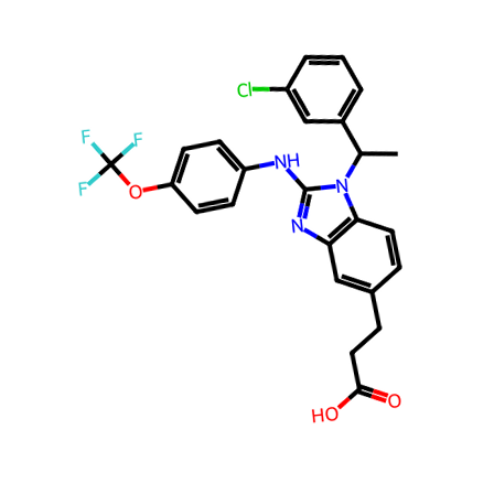 CC(c1cccc(Cl)c1)n1c(Nc2ccc(OC(F)(F)F)cc2)nc2cc(CCC(=O)O)ccc21